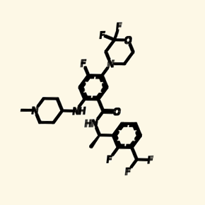 C[C@@H](NC(=O)c1cc(N2CCOC(F)(F)C2)c(F)cc1NC1CCN(C)CC1)c1cccc(C(F)F)c1F